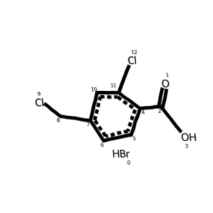 Br.O=C(O)c1ccc(CCl)cc1Cl